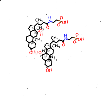 C[C@H](CCC(=O)NCCS(=O)(=O)O)[C@H]1CCC2C3CCC4C[C@H](O)CC[C@]4(C)C3C[C@H](O)[C@@]21C.C[C@H](CCC(=O)NCCS(=O)(=O)O)[C@H]1CC[C@H]2[C@@H]3[C@H](O)CC4C[C@H](O)CC[C@]4(C)[C@H]3CC[C@]12C